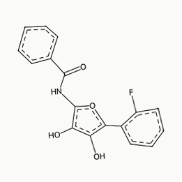 O=C(Nc1oc(-c2ccccc2F)c(O)c1O)c1ccccc1